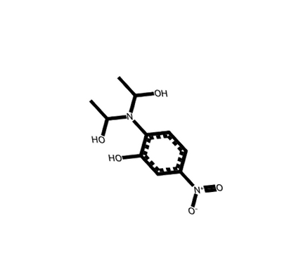 CC(O)N(c1ccc([N+](=O)[O-])cc1O)C(C)O